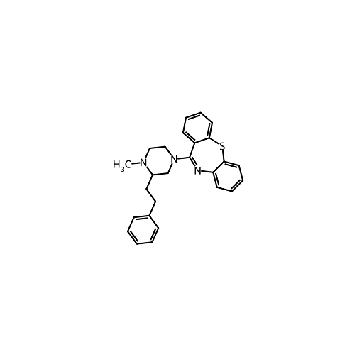 CN1CCN(C2=Nc3ccccc3Sc3ccccc32)CC1CCc1ccccc1